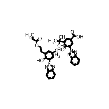 C=CC(=O)OCCc1cc(C)cc(-n2nc3ccccc3n2)c1O.CC(C)(C)c1cc(C(=O)O)cc(-n2nc3ccccc3n2)c1O